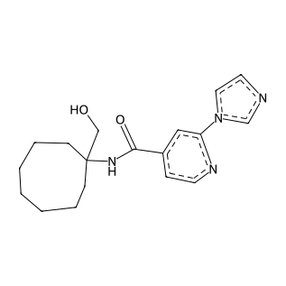 O=C(NC1(CO)CCCCCCC1)c1ccnc(-n2ccnc2)c1